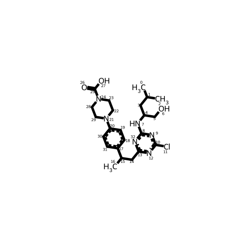 CC(C)CC(CO)Nc1nc(Cl)nc(CC(C)c2ccc(N3CCN(C(=O)O)CC3)cc2)n1